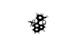 Cc1nc(-c2ccccc2)c(C2c3ccccc3Oc3c(C)cccc32)o1